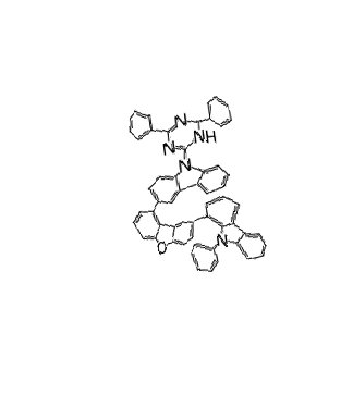 c1ccc(C2=NC(c3ccccc3)NC(n3c4ccccc4c4cc(-c5cccc6oc7ccc(-c8cccc9c%10ccccc%10n(-c%10ccccc%10)c89)cc7c56)ccc43)=N2)cc1